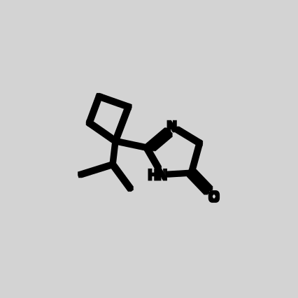 CC(C)C1(C2=NCC(=O)N2)CCC1